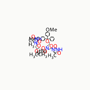 COc1ccc(C(OC[C@@H]2CN(C(=O)OC[C@H]3O[C@@H](n4cc(C)c(=O)[nH]c4=O)C[C@@H]3O[Si](C)(C)C(C)(C)C)C[C@H](n3cc(C)c(=O)[nH]c3=O)O2)(c2ccccc2)c2ccc(OC)cc2)cc1